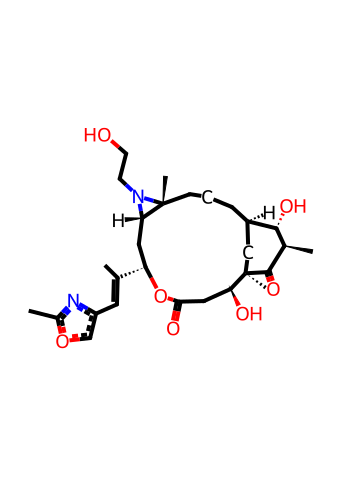 C/C(=C\c1coc(C)n1)[C@@H]1C[C@@H]2N(CCO)[C@]2(C)CCC[C@@H]2C[C@@](C)(C(=O)[C@H](C)[C@H]2O)[C@@H](O)CC(=O)O1